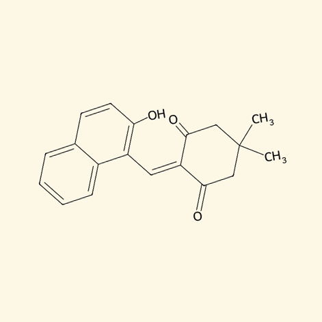 CC1(C)CC(=O)C(=Cc2c(O)ccc3ccccc23)C(=O)C1